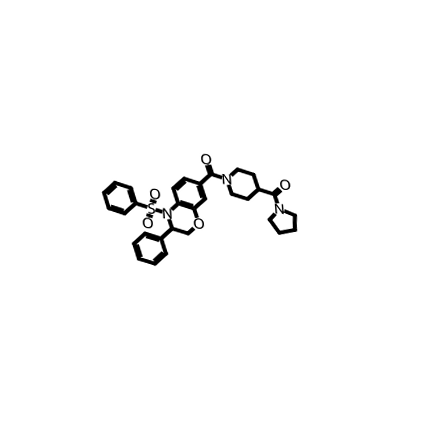 O=C(c1ccc2c(c1)OCC(c1ccccc1)N2S(=O)(=O)c1ccccc1)N1CCC(C(=O)N2CCCC2)CC1